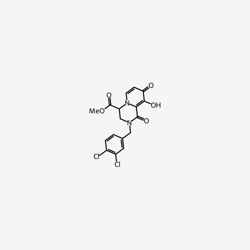 COC(=O)C1CN(Cc2ccc(Cl)c(Cl)c2)C(=O)c2c(O)c(=O)ccn21